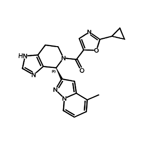 Cc1cccn2nc([C@H]3c4nc[nH]c4CCN3C(=O)c3cnc(C4CC4)o3)cc12